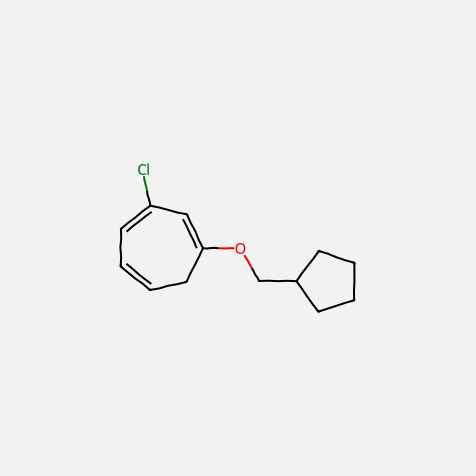 ClC1=CC=CCC(OCC2CCCC2)=C1